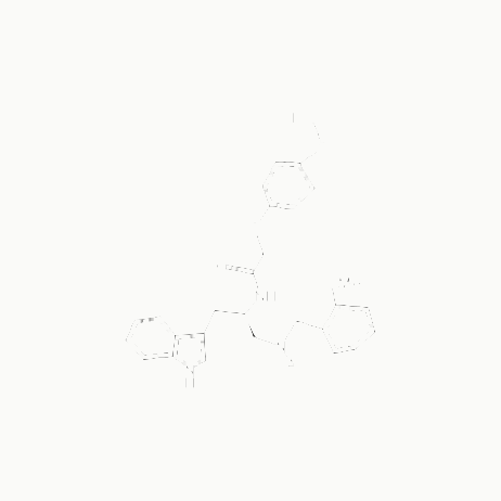 COc1ccccc1CN(C[C@@H](Cc1c[nH]c2ccccc12)NC(=O)COc1ccc(OC(F)(F)F)cc1)C(C)=O